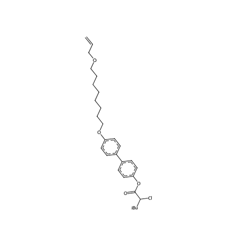 C=CCOCCCCCCCCOc1ccc(-c2ccc(OC(=O)C(Cl)C(C)CC)cc2)cc1